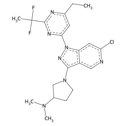 CCc1cc(-n2nc(N3CCC(N(C)C)C3)c3cnc(Cl)cc32)nc(C(C)(F)F)n1